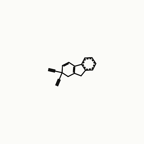 C#CC1(C#C)C=CC2=C(Cc3ccccc32)C1